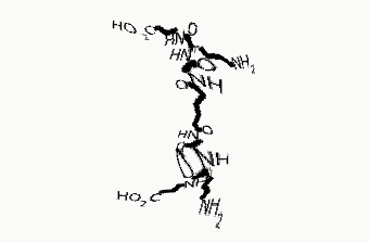 NCCCC[C@H](NC(=O)CNC(=O)CCCCC(=O)NCC(=O)N[C@@H](CCCCN)C(=O)NCCCC(=O)O)C(=O)NCCCC(=O)O